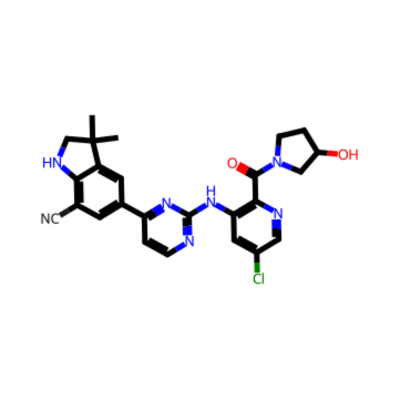 CC1(C)CNc2c(C#N)cc(-c3ccnc(Nc4cc(Cl)cnc4C(=O)N4CCC(O)C4)n3)cc21